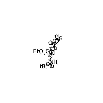 CCOC(=O)c1c2c(nn1CCCNC(=O)OC(C)(C)C)CCN(C(=O)c1ccc(Cl)c(Cl)c1)C2